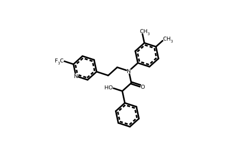 Cc1ccc(N(CCc2ccc(C(F)(F)F)nc2)C(=O)C(O)c2ccccc2)cc1C